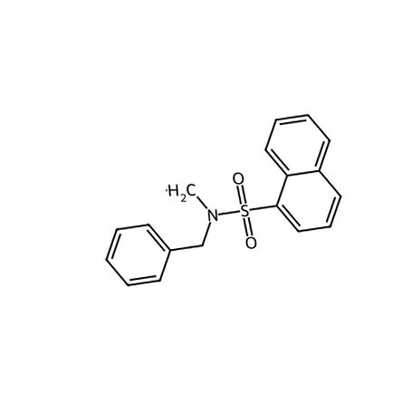 [CH2]N(Cc1ccccc1)S(=O)(=O)c1cccc2ccccc12